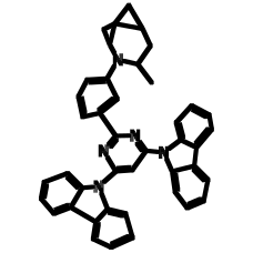 CC1CC2CC23CC3N1c1cccc(-c2nc(-n3c4ccccc4c4ccccc43)cc(-n3c4ccccc4c4ccccc43)n2)c1